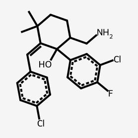 CC1(C)CCC(CN)C(O)(c2ccc(F)c(Cl)c2)C1=Cc1ccc(Cl)cc1